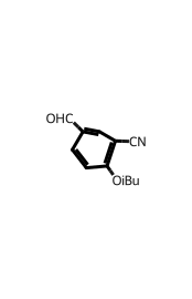 CC(C)COc1ccc(C=O)cc1C#N